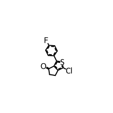 O=C1CCc2c(Cl)sc(-c3ccc(F)cc3)c21